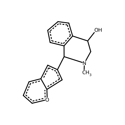 CN1CC(O)c2ccccc2C1c1cc2cccoc-2c1